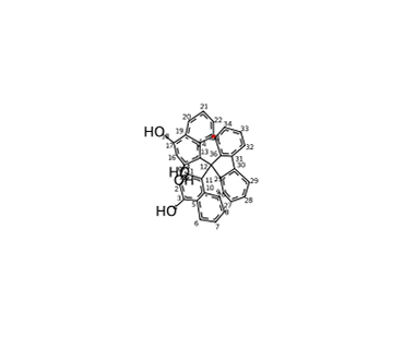 Oc1cc(O)c2ccccc2c1C1(c2c(O)cc(O)c3ccccc23)c2ccccc2-c2ccccc21